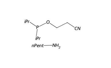 CC(C)P(OCCC#N)C(C)C.CCCCCN